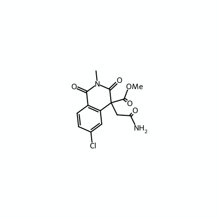 COC(=O)C1(CC(N)=O)C(=O)N(C)C(=O)c2ccc(Cl)cc21